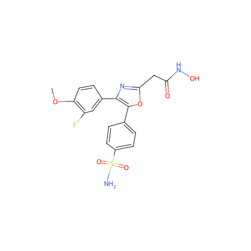 COc1ccc(-c2nc(CC(=O)NO)oc2-c2ccc(S(N)(=O)=O)cc2)cc1F